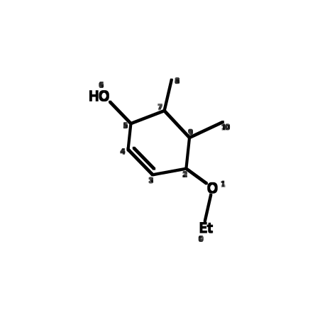 CCOC1C=CC(O)C(C)C1C